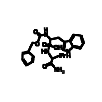 CC(C)C(NP(=O)(O)C(Cc1c[nH]c2ccccc12)NC(=O)OCc1ccccc1)C(N)=O